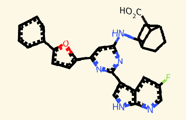 O=C(O)C1C2CCC(CC2)C1Nc1cc(-c2ccc(-c3ccccc3)o2)nc(-c2c[nH]c3ncc(F)cc23)n1